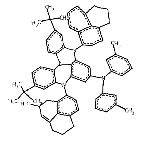 Cc1cccc(N(c2cccc(C)c2)c2cc3c4c(c2)N(c2ccc5c6c(cccc26)CCC5)c2cc(C(C)(C)C)ccc2B4c2ccc(C(C)(C)C)cc2N3c2ccc3c4c2CC(C)C=C4CCC3)c1